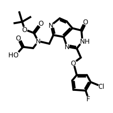 CC(C)(C)OC(=O)N(CC(=O)O)Cc1nccc2c(=O)[nH]c(COc3ccc(F)c(Cl)c3)nc12